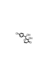 O=c1ccoc(C(O)c2ccc(Cl)cc2)c1O